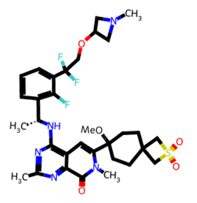 COC1(c2cc3c(N[C@H](C)c4cccc(C(F)(F)COC5CN(C)C5)c4F)nc(C)nc3c(=O)n2C)CCC2(CC1)CS(=O)(=O)C2